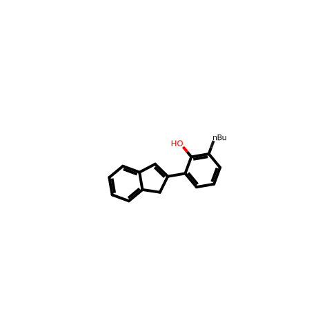 CCCCc1cccc(C2=Cc3ccccc3C2)c1O